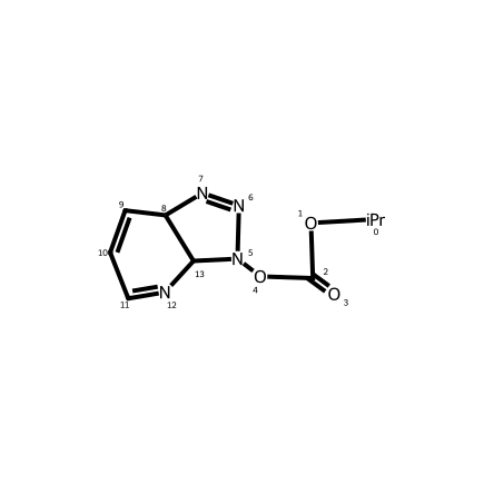 CC(C)OC(=O)ON1N=NC2C=CC=NC21